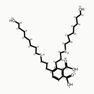 O=C(O)c1ccc(CCCSCCCCCCCCO)c(CCCSCCCCCCCCO)c1C(=O)O